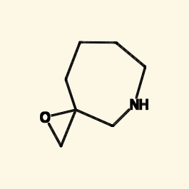 C1CCC2(CNC1)CO2